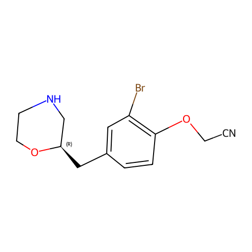 N#CCOc1ccc(C[C@@H]2CNCCO2)cc1Br